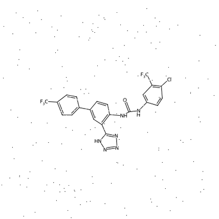 O=C(Nc1ccc(Cl)c(C(F)(F)F)c1)Nc1ccc(-c2ccc(C(F)(F)F)cc2)cc1-c1nnn[nH]1